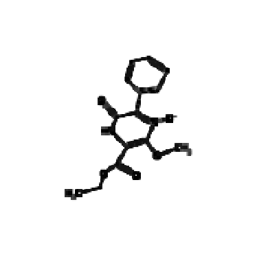 CCOC(=O)c1[nH]c(=O)c(-c2ccccc2)[n+]([O-])c1OC